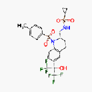 Cc1ccc(S(=O)(=O)N2c3ccc(C(O)(C(F)(F)F)C(F)(F)F)cc3CC[C@H]2CNS(=O)(=O)C2CC2)cc1